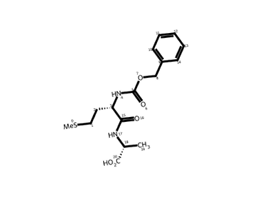 CSCC[C@H](NC(=O)OCc1ccccc1)C(=O)N[C@H](C)C(=O)O